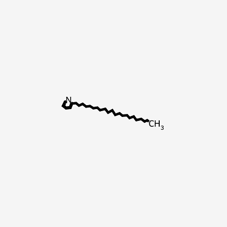 CCCCCCCCCCCCCCCCCCCCCCc1ccccn1